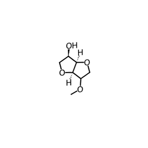 COC1CO[C@@H]2[C@H](O)CO[C@H]12